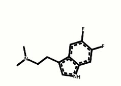 CN(C)CCc1c[nH]c2cc(F)c(F)cc12